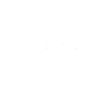 CC(=O)OCC1OC(Cc2ccc(I)cc2)C(OC(C)=O)C(OC(C)=O)C1OC(C)=O